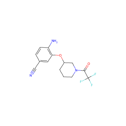 N#Cc1ccc(N)c(OC2CCCN(C(=O)C(F)(F)F)C2)c1